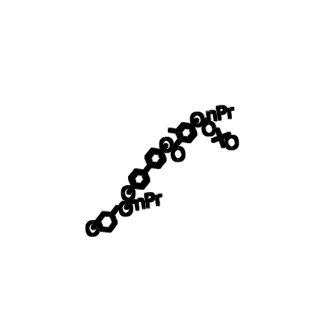 CCCC(OCC1CCC2OC2C1)Oc1ccc(-c2ccc(OC(=O)c3ccc(OC(CCC)OCC4(C)COC4)cc3C)cc2)cc1